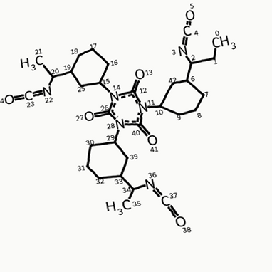 CCC(N=C=O)C1CCCC(n2c(=O)n(C3CCCC(C(C)N=C=O)C3)c(=O)n(C3CCCC(C(C)N=C=O)C3)c2=O)C1